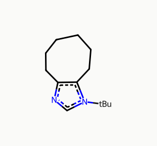 CC(C)(C)n1cnc2c1CCCCCC2